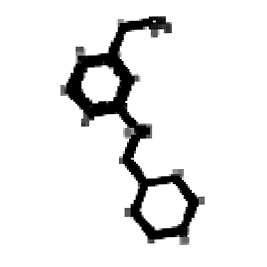 CCc1cc(NCC2CCOCC2)ncn1